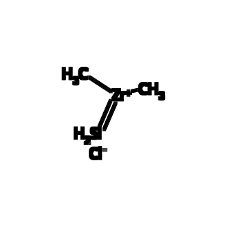 [CH3][Zr+]([CH3])=[SiH2].[Cl-]